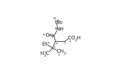 CCC(C)(C)C(CC(=O)O)C(=O)NC(C)(C)C